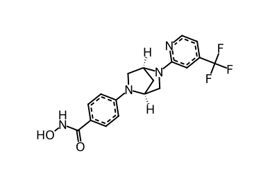 O=C(NO)c1ccc(N2C[C@@H]3C[C@H]2CN3c2cc(C(F)(F)F)ccn2)cc1